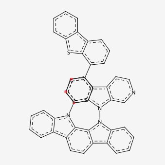 c1ccc2c(c1)sc1c(-c3ccc(-n4c5ccccc5c5ccc6c7ccccc7n(-n7c8ccccc8c8ccncc87)c6c54)cc3)cccc12